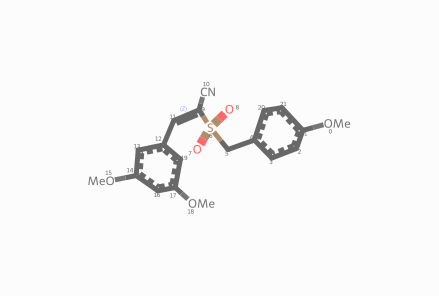 COc1ccc(CS(=O)(=O)/C(C#N)=C\c2cc(OC)cc(OC)c2)cc1